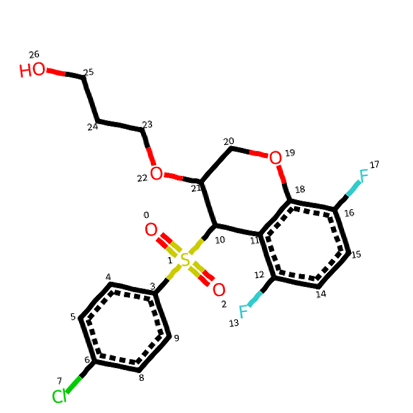 O=S(=O)(c1ccc(Cl)cc1)C1c2c(F)ccc(F)c2OCC1OCCCO